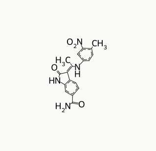 CC(Nc1ccc(C)c([N+](=O)[O-])c1)=C1C(=O)Nc2cc(C(N)=O)ccc21